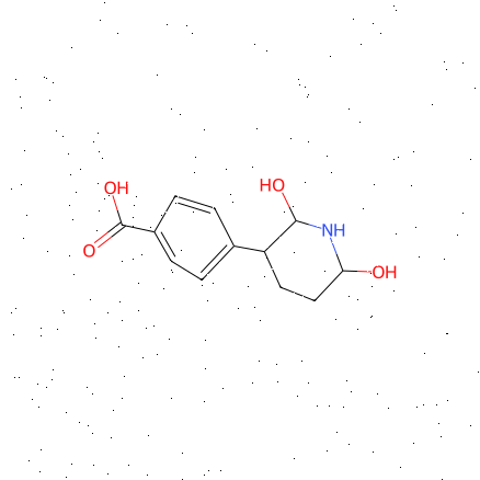 O=C(O)c1ccc(C2CCC(O)NC2O)cc1